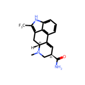 CN1C[C@H](C(N)=O)C=C2c3cccc4[nH]c(C(F)(F)F)c(c34)C[C@H]21